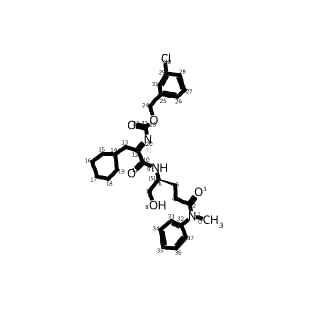 CN(C(=O)CC[C@@H](CO)NC(=O)/C(CC1CCCCC1)=N/C(=O)OCc1cccc(Cl)c1)c1ccccc1